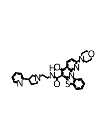 O=C(NCCN1CCC(c2ccccn2)C1)c1c(=O)c2ccc(N3CCOCC3)nc2n2c1sc1ccccc12